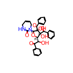 O=C(c1ccccc1)C(O)[C@H]1O[C@@H](N2CC=CCNC2=O)[C@@](O)(C(=O)c2ccccc2)[C@@]1(O)C(=O)c1ccccc1